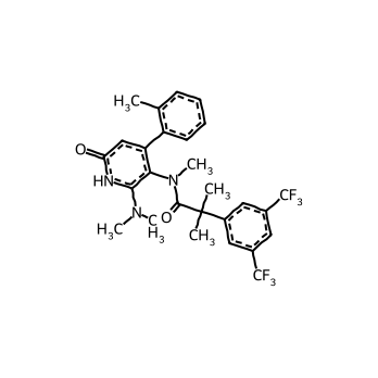 Cc1ccccc1-c1cc(=O)[nH]c(N(C)C)c1N(C)C(=O)C(C)(C)c1cc(C(F)(F)F)cc(C(F)(F)F)c1